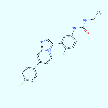 O=C(NCC(F)(F)F)Nc1ccc(F)c(-c2cnc3cc(-c4ccc(F)cc4)ccn23)c1